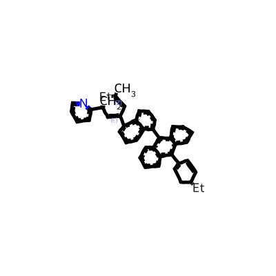 C=C(/C=C(\C=C(\C)CC)c1cccc2c(-c3c4ccccc4c(C4=CCC(CC)C=C4)c4ccccc34)cccc12)c1ccccn1